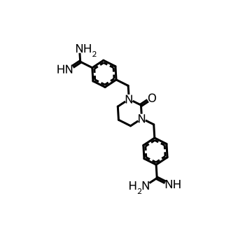 N=C(N)c1ccc(CN2CCCN(Cc3ccc(C(=N)N)cc3)C2=O)cc1